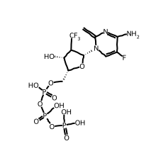 C=C1N=C(N)C(F)=CN1[C@@H]1O[C@H](COP(=O)(O)OP(=O)(O)OP(=O)(O)O)[C@H](O)C1C(F)(F)F